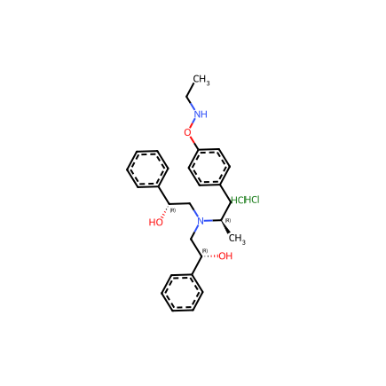 CCNOc1ccc(C[C@@H](C)N(C[C@H](O)c2ccccc2)C[C@H](O)c2ccccc2)cc1.Cl.Cl